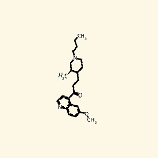 CCCCN1CCC(CCC(=O)c2ccnc3ccc(OC)cc23)C(C)C1